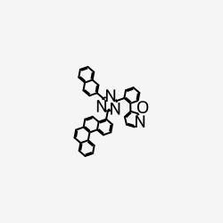 c1ccc2cc(-c3nc(-c4cccc5c4ccc4ccc6ccccc6c45)nc(-c4cccc5oc6ncccc6c45)n3)ccc2c1